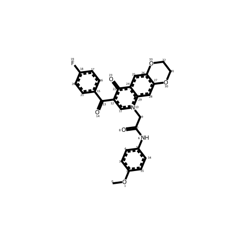 COc1ccc(NC(=O)Cn2cc(C(=O)c3ccc(F)cc3)c(=O)c3cc4c(cc32)OCCO4)cc1